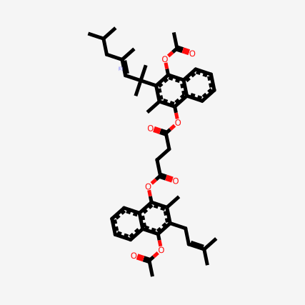 CC(=O)Oc1c(CC=C(C)C)c(C)c(OC(=O)CCC(=O)Oc2c(C)c(C(C)(C)/C=C(\C)CC(C)C)c(OC(C)=O)c3ccccc23)c2ccccc12